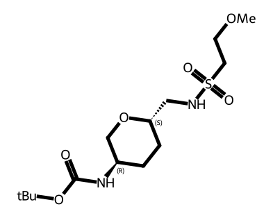 COCCS(=O)(=O)NC[C@@H]1CC[C@@H](NC(=O)OC(C)(C)C)CO1